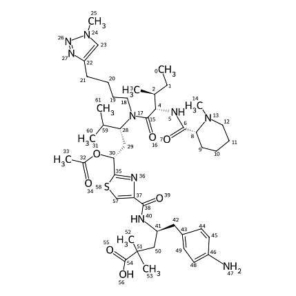 CC[C@H](C)[C@H](NC(=O)[C@H]1CCCCN1C)C(=O)N(CCCCc1cn(C)nn1)[C@H](C[C@@H](OC(C)=O)c1nc(C(=O)N[C@@H](Cc2ccc(N)cc2)CC(C)(C)C(=O)O)cs1)C(C)C